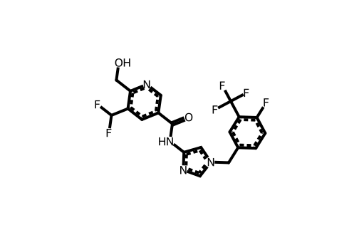 O=C(Nc1cn(Cc2ccc(F)c(C(F)(F)F)c2)cn1)c1cnc(CO)c(C(F)F)c1